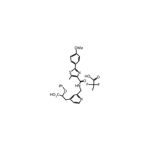 COc1ccc(-c2nc(C(=O)NCc3cc(CC(OC(C)C)C(=O)O)ccn3)c(C)s2)cc1.O=C(O)C(F)(F)F